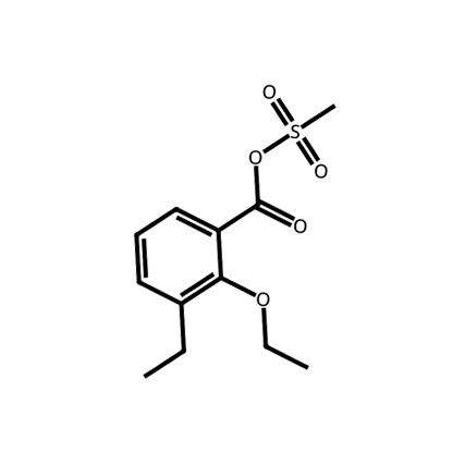 CCOc1c(CC)cccc1C(=O)OS(C)(=O)=O